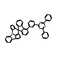 c1ccc(-c2nc(-c3ccccc3)nc(-c3cccc(-c4cccc5c4-c4ccccc4C54c5ccccc5-n5c6ccccc6c6cccc4c65)c3)n2)cc1